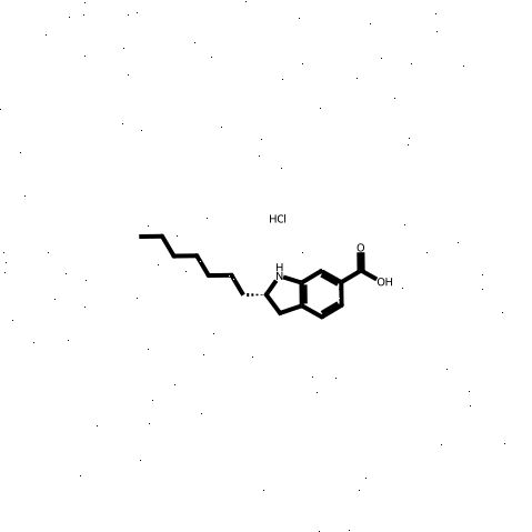 CCCCCCC[C@H]1Cc2ccc(C(=O)O)cc2N1.Cl